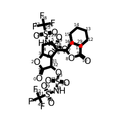 O=C1OC2CCC(C3OC(=O)C4C5CCC(C(OS(=O)(=O)NS(=O)(=O)C(F)(F)F)C5)C34)C2C1OS(=O)(=O)NS(=O)(=O)C(F)(F)F